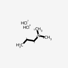 CCCN(C)C.Cl.Cl